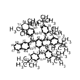 CC(C)(C)c1ccc(N2c3ccc(C(C)(C)C)cc3B3c4cc(C(C)(C)C)cc5c4N(c4ccc(C(C)(C)C)cc4[Si]5(C)C)c4cc(N(c5ccc6c(c5)C(C)(C)CCC6(C)C)c5ccc6ccccc6c5)cc2c43)cc1